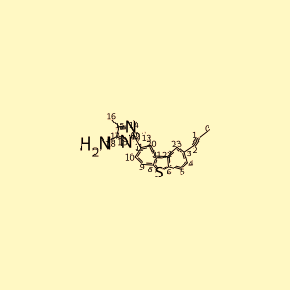 CC#Cc1ccc2sc3ccc([C@]4(C)N=C(C)C(N)=N4)cc3c2c1